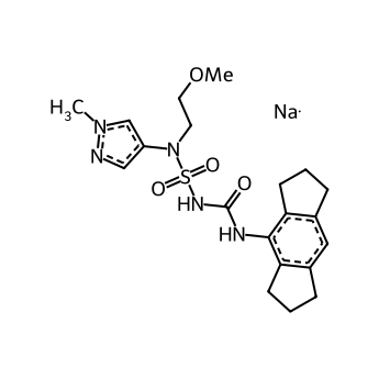 COCCN(c1cnn(C)c1)S(=O)(=O)NC(=O)Nc1c2c(cc3c1CCC3)CCC2.[Na]